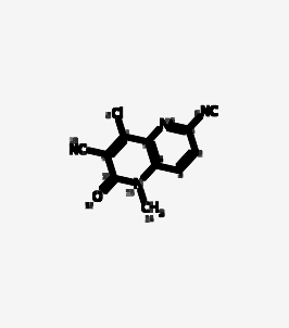 [C-]#[N+]c1ccc2c(n1)c(Cl)c(C#N)c(=O)n2C